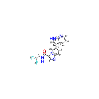 O=C(NCC(F)F)c1cnc2ccc(-c3c[nH]c4ncccc34)cn12